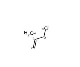 C=CCCl.O